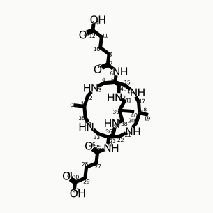 CC1CNCC2(NC(=O)CCCC(=O)O)CNCC(C)CNCC(NC(=O)CCCC(=O)O)(CNC1)CNCC(C)CNC2